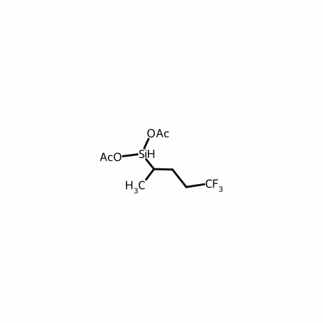 CC(=O)O[SiH](OC(C)=O)C(C)CCC(F)(F)F